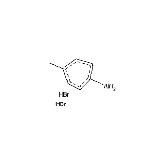 Br.Br.Cc1cc[c]([AlH2])cc1